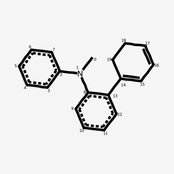 CN(c1ccccc1)c1ccccc1C1=CC=CCC1